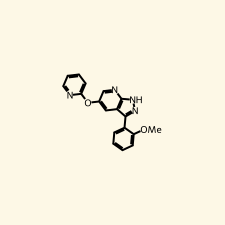 COc1ccccc1-c1n[nH]c2ncc(Oc3ccccn3)cc12